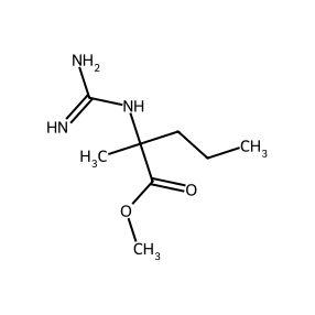 CCCC(C)(NC(=N)N)C(=O)OC